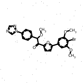 COc1cc(-c2ccc(C(=O)C(OC)c3ccc(-n4cncn4)cc3)o2)cc(OC)c1Br